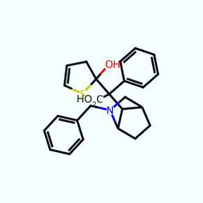 O=C(O)C(c1ccccc1)(C1C2CCC1N(Cc1ccccc1)C2)C1(O)CC=CS1